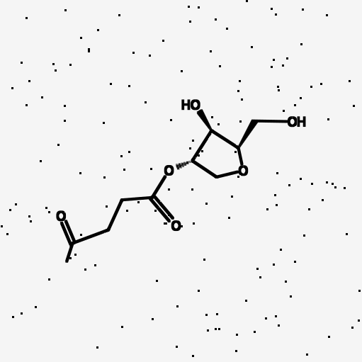 CC(=O)CCC(=O)O[C@H]1CO[C@H](CO)[C@@H]1O